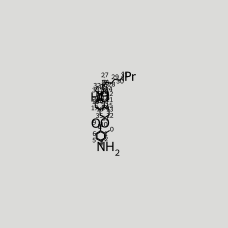 Cc1cc(N)ccc1C(=O)OC1CC[C@@]2(C)C(=CC[C@@H]3C2CC[C@]2(C)[C@@H]([C@H](C)CCCC(C)C)CC[C@@H]32)C1